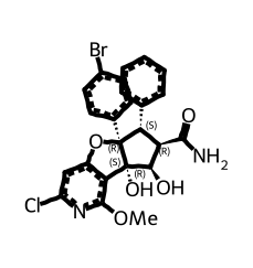 COc1nc(Cl)cc2c1[C@]1(O)[C@H](O)[C@H](C(N)=O)[C@@H](c3ccccc3)[C@]1(c1ccc(Br)cc1)O2